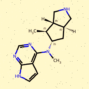 C[C@H]1[C@@H]2CNC[C@H]2C[C@@H]1N(C)c1ncnc2[nH]ccc12